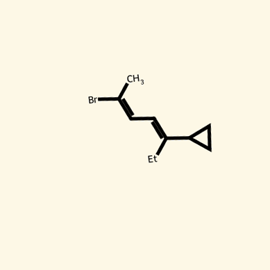 CC/C(=C\C=C(/C)Br)C1CC1